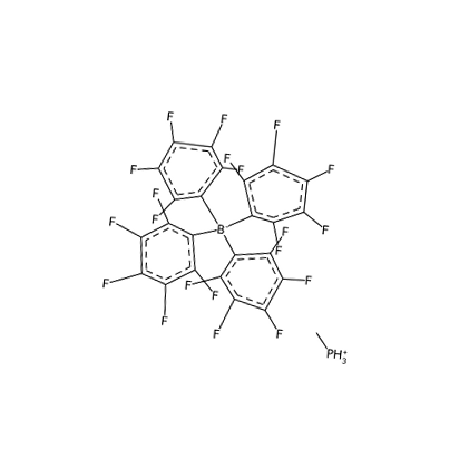 C[PH3+].Fc1c(F)c(F)c([B-](c2c(F)c(F)c(F)c(F)c2F)(c2c(F)c(F)c(F)c(F)c2F)c2c(F)c(F)c(F)c(F)c2F)c(F)c1F